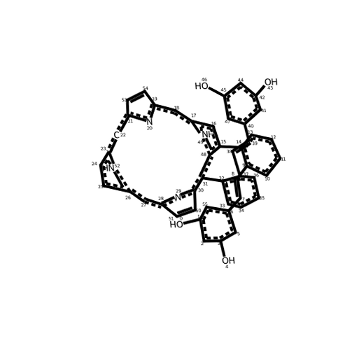 Oc1cc(O)cc(C=Cc2ccccc2-c2cc3cc4nc(cc5ccc(cc6nc(c(-c7ccccc7C=Cc7cc(O)cc(O)c7)c2[nH]3)C=C6)[nH]5)C=C4)c1